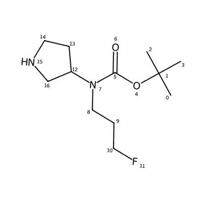 CC(C)(C)OC(=O)N(CCCF)C1CCNC1